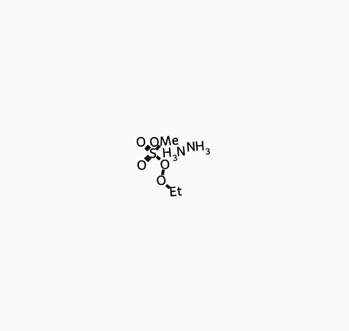 CCOOS(=O)(=O)OC.N.N